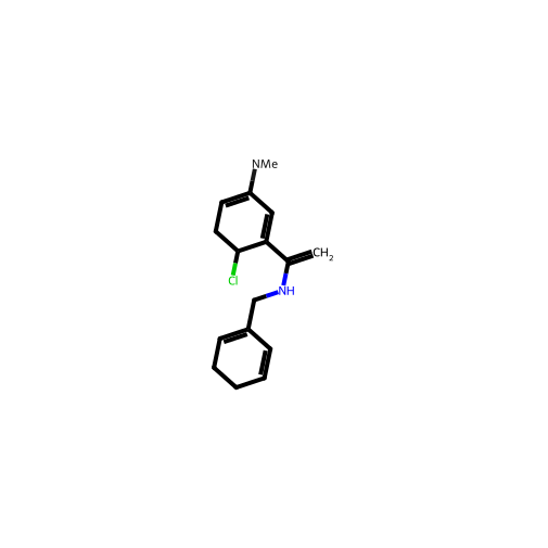 C=C(NCC1=CCCC=C1)C1=CC(NC)=CCC1Cl